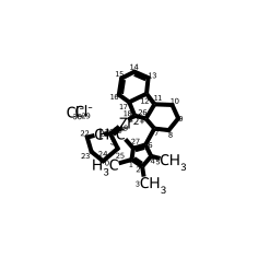 CC1=C(C)C(C)C(C2CCCC3C4C=CC=CC4[CH]([Zr+2]=[C]4CCCCC4)C23)=C1C.[Cl-].[Cl-]